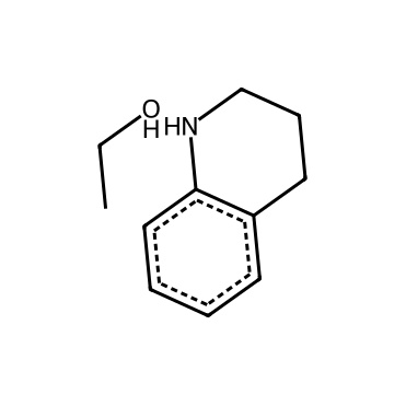 CCO.c1ccc2c(c1)CCCN2